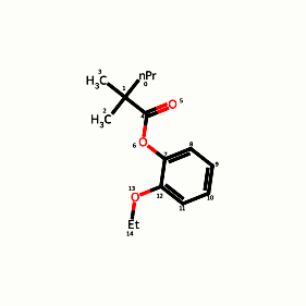 CCCC(C)(C)C(=O)Oc1ccccc1OCC